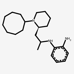 CC(C[C@@H]1CCCCN1C1CCCCCCC1)Nc1ccccc1N